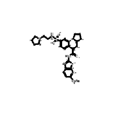 COc1ccc2nc(NC(=O)C(CC3CCCC3)c3ccc(S(=O)(=O)NCCN4CCCC4)cc3)sc2n1